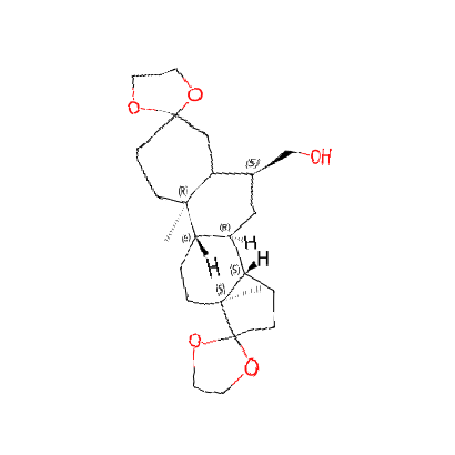 C[C@]12CCC3(CC1[C@@H](CO)C[C@@H]1[C@@H]2CC[C@@]2(C)[C@H]1CCC21OCCO1)OCCO3